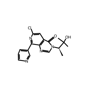 C[C@@H](n1cnc2c(-c3cccnc3)nc(Cl)cc2c1=O)C(C)(C)O